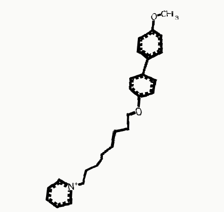 COc1ccc(-c2ccc(OCCCCCCCC[n+]3ccccc3)cc2)cc1